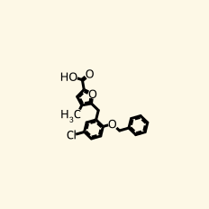 Cc1cc(C(=O)O)oc1Cc1cc(Cl)ccc1OCc1ccccc1